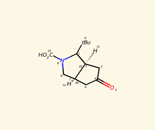 CC(C)(C)C1[C@H]2CC(=O)C[C@H]2CN1C(=O)O